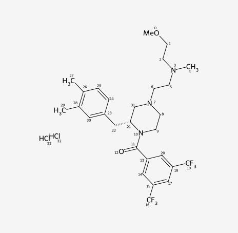 COCCN(C)CCN1CCN(C(=O)c2cc(C(F)(F)F)cc(C(F)(F)F)c2)[C@H](Cc2ccc(C)c(C)c2)C1.Cl.Cl